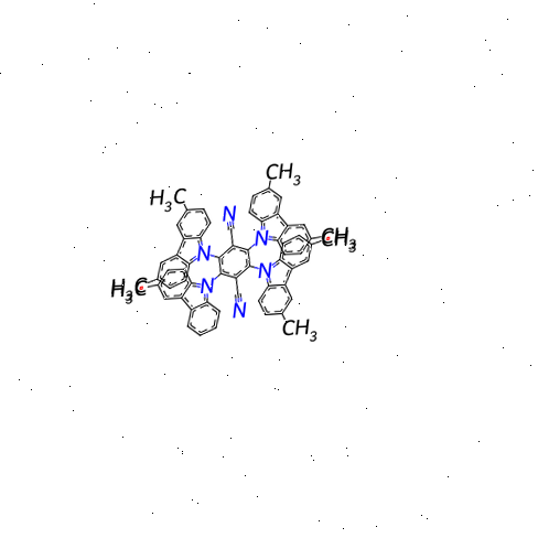 Cc1ccc2c(c1)c1ccccc1n2-c1c(C#N)c(-n2c3ccc(C)cc3c3cc(C)ccc32)c(-n2c3ccc(C)cc3c3cc(C)ccc32)c(C#N)c1-n1c2ccc(C)cc2c2cc(C)ccc21